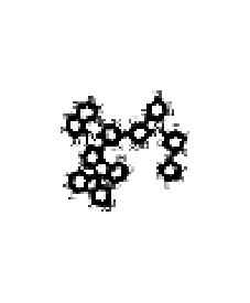 c1ccc(-c2cccc(-n3c4ccccc4c4cc(-c5ccc6c(c5)c5c7c(ccc5n6-c5cccc6ccccc56)C(c5ccccc5)(c5ccccc5)c5ccccc5-7)ccc43)c2)cc1